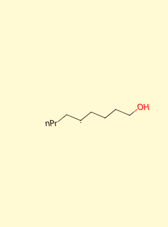 CCCC[CH]CCCCO